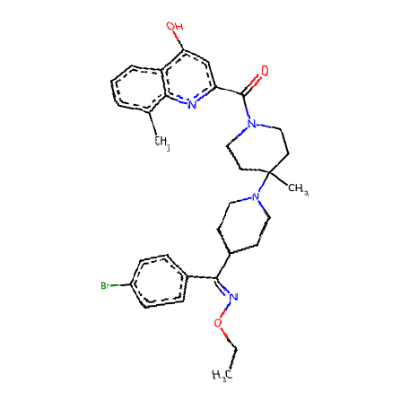 CCON=C(c1ccc(Br)cc1)C1CCN(C2(C)CCN(C(=O)c3cc(O)c4cccc(C)c4n3)CC2)CC1